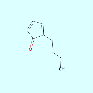 CCCCC1=CC=CC1=O